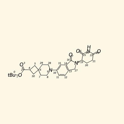 CC(C)(C)OC(=O)C1CC2(CCN(c3ccc4c(c3)C(=O)N(C3CCC(=O)NC3=O)C4)CC2)C1